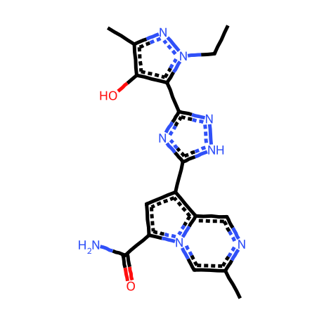 CCn1nc(C)c(O)c1-c1n[nH]c(-c2cc(C(N)=O)n3cc(C)ncc23)n1